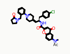 CC(=O)N(C)c1ccc2oc(C(=O)N[C@@H](C=C3CCN(c4ccccc4CN4CCCC4=O)CC3)Cc3ccc(Cl)cc3)cc(=O)c2c1